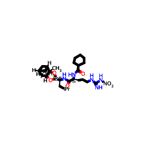 CC(C)C[C@H](NC(=O)[C@H](CCCNC(=N)N[N+](=O)[O-])NC(=O)C1CCCCC1)B1O[C@@H]2C[C@@H]3C[C@@H](C3(C)C)[C@]2(C)O1